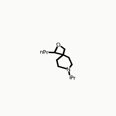 CCCC1OCC12CCN(C(C)C)CC2